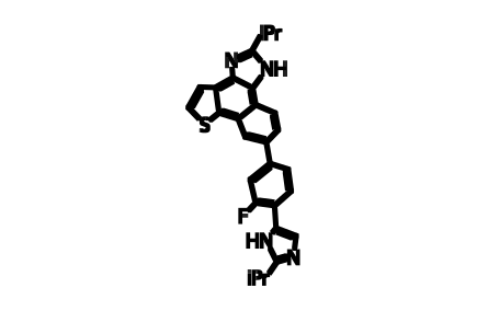 CC(C)c1ncc(-c2ccc(-c3ccc4c(c3)c3sccc3c3nc(C(C)C)[nH]c43)cc2F)[nH]1